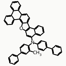 Cc1cc(-c2ccccc2)ccc1N(c1ccc(-c2ccccc2)cc1)c1cc2oc3c(ccc4c5ccccc5c5ccccc5c43)c2c2ccccc12